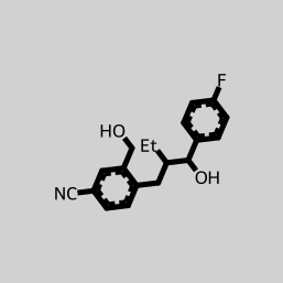 CCC(Cc1ccc(C#N)cc1CO)C(O)c1ccc(F)cc1